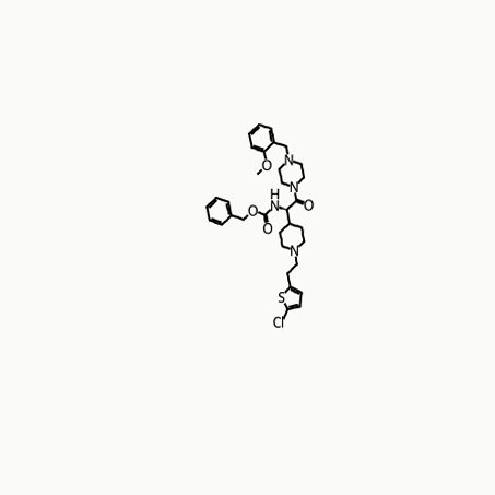 COc1ccccc1CN1CCN(C(=O)[C@H](NC(=O)OCc2ccccc2)C2CCN(CCc3ccc(Cl)s3)CC2)CC1